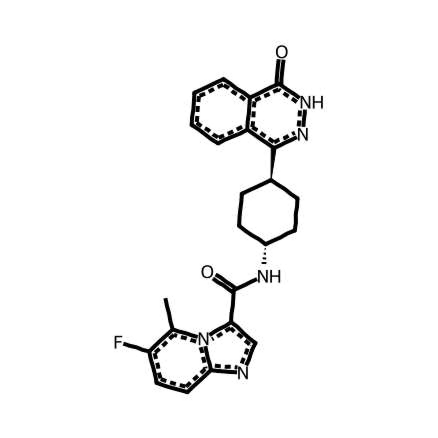 Cc1c(F)ccc2ncc(C(=O)N[C@H]3CC[C@H](c4n[nH]c(=O)c5ccccc54)CC3)n12